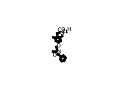 CCOC(Cc1c(C)cc(OCc2nc(-c3ccccc3)oc2C)cc1C)C(=O)O